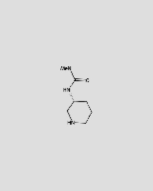 CNC(=O)N[C@@H]1CCCNC1